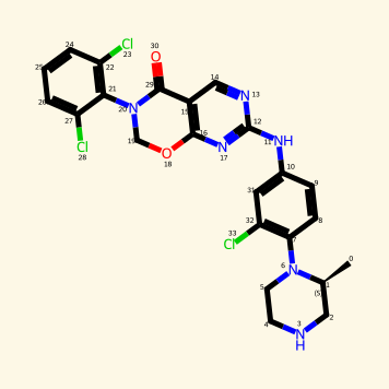 C[C@H]1CNCCN1c1ccc(Nc2ncc3c(n2)OCN(c2c(Cl)cccc2Cl)C3=O)cc1Cl